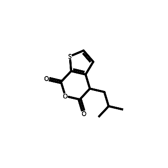 CC(C)CC1C(=O)OC(=O)c2sccc21